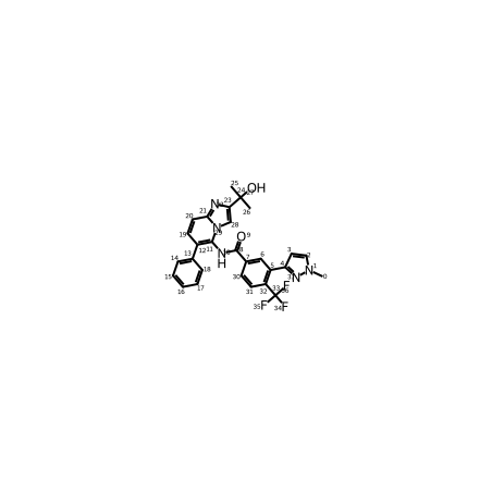 Cn1ccc(-c2cc(C(=O)Nc3c(-c4ccccc4)ccc4nc(C(C)(C)O)cn34)ccc2C(F)(F)F)n1